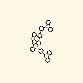 c1cc(-c2ccc(-c3ccc(N(c4ccc(-c5cc6ccccc6c6ccccc56)cc4)c4ccccc4-c4ccc5c(c4)oc4ccccc45)cc3)cc2)cc(-n2c3ccccc3c3ccccc32)c1